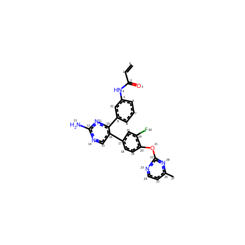 C=CC(=O)Nc1cccc(-c2nc(N)ncc2-c2ccc(Oc3nccc(C)n3)c(F)c2)c1